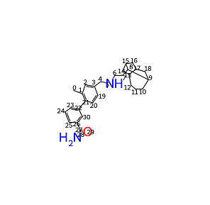 Cc1cc(CNCCC2C3CCCC4CC2CC4C3)ccc1-c1cccc(C(N)=O)c1